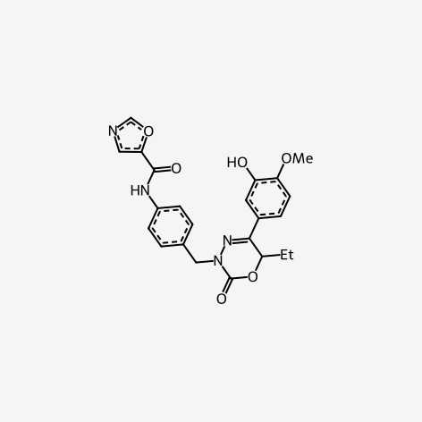 CCC1OC(=O)N(Cc2ccc(NC(=O)c3cnco3)cc2)N=C1c1ccc(OC)c(O)c1